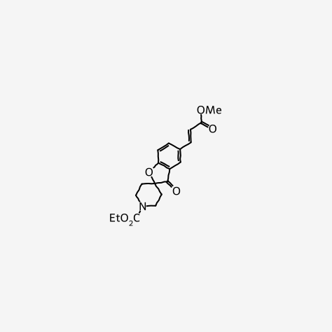 CCOC(=O)N1CCC2(CC1)Oc1ccc(/C=C/C(=O)OC)cc1C2=O